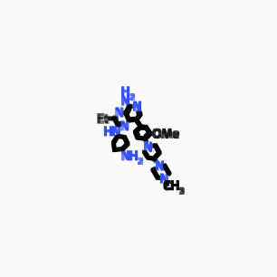 CCc1nc2c(N)ncc(-c3ccc(N4CCC(N5CCN(C)CC5)CC4)c(OC)c3)c2nc1NC1CCC(N)CC1